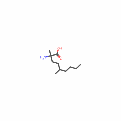 CCCCC(C)CCC(C)(N)C(=O)O